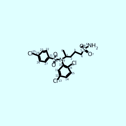 CC(CCCS(N)(=O)=O)N(c1cc(Cl)ccc1Cl)S(=O)(=O)c1ccc(Cl)cc1